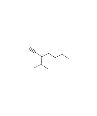 C#CC(CCCC)C(C)C